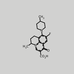 CC1CCN(c2c(F)cc3c(=O)c(C(=O)O)cn4c3c2CCC4C)CC1